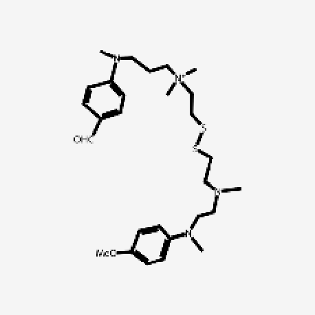 COc1ccc(N(C)CCN(C)CCSSCC[N+](C)(C)CCCN(C)c2ccc(C=O)cc2)cc1